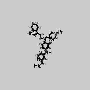 CC(C)N1CCC2(CC1)CN(CCc1c[nH]c3ccccc13)c1ccc(Nc3ccnc(CO)c3)cc1O2